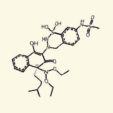 CCON(OCC)[C@]1(CCC(C)C)C(=O)C(N2Cc3ccc(NS(C)(=O)=O)cc3S(O)(O)N2)=C(O)c2ccccc21